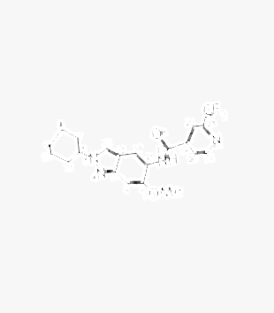 COc1cc2nn(C3CCCCC3)cc2cc1NC(=O)c1ccnc(C(F)(F)F)c1